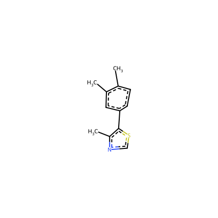 Cc1ccc(-c2scnc2C)cc1C